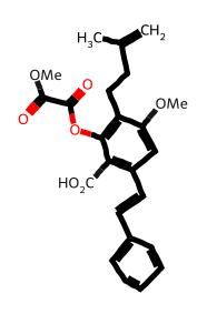 C=C(C)CCc1c(OC)cc(C=Cc2ccccc2)c(C(=O)O)c1OC(=O)C(=O)OC